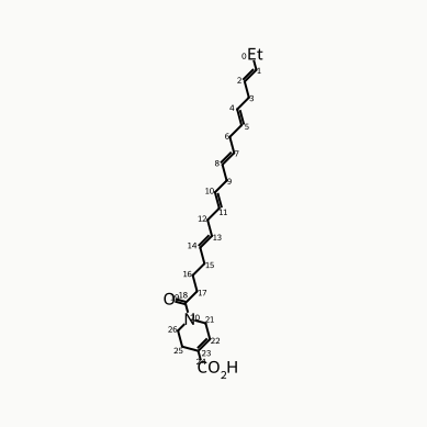 CC/C=C/C/C=C/C/C=C/C/C=C/C/C=C/CCCC(=O)N1CC=C(C(=O)O)CC1